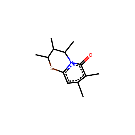 Cc1cc2n(c(=O)c1C)C(C)C(C)C(C)S2